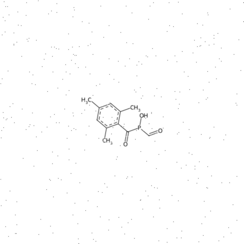 Cc1cc(C)c(C(=O)P(O)C=O)c(C)c1